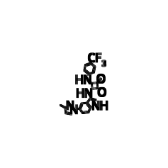 Cc1ccn(-c2ccc3[nH]cc(NC4C(=O)C(=O)C4Nc4ccc(C(F)(F)F)cc4)c3c2)n1